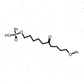 CC(C)OCCCCC(=O)CCCCCOP(=O)(O)C(C)C